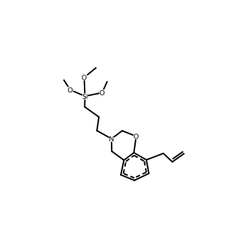 C=CCc1cccc2c1OCN(CCC[Si](OC)(OC)OC)C2